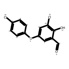 O=Cc1cc(Oc2ccc(Cl)cc2)cc(Cl)c1O